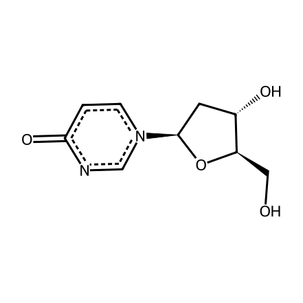 O=c1ccn([C@H]2C[C@H](O)[C@@H](CO)O2)cn1